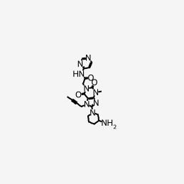 CC#CCn1c(N2CCCC(N)C2)nc2c1c(=O)n(CC(=O)Nc1ccncn1)c(=O)n2C